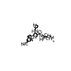 CC(C)(O)[C@H](F)CNC(=O)c1cnc(-c2ccc3cc(C#N)cnn23)cc1NCc1cccnc1